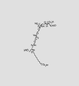 O=CCC[C@H](NC(=O)CC[C@H](NC(=O)COCCOCCNC(=O)COCCOCCNC(=O)CC[C@H](NC(=O)CCCCCCCCCCCCC(=O)O)C(=O)O)C(=O)O)C(=O)O